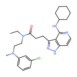 CCN(CCN(C)c1cccc(Cl)c1)C(=O)CCc1n[nH]c2ccnc(NC3CCCCC3)c12